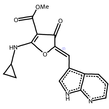 COC(=O)C1=C(NC2CC2)O/C(=C\c2c[nH]c3ncccc23)C1=O